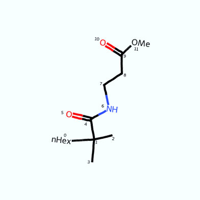 CCCCCCC(C)(C)C(=O)NCCC(=O)OC